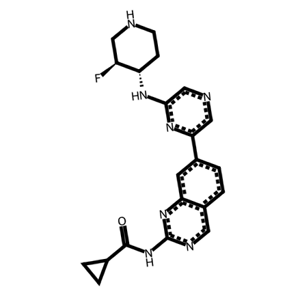 O=C(Nc1ncc2ccc(-c3cncc(N[C@H]4CCNC[C@@H]4F)n3)cc2n1)C1CC1